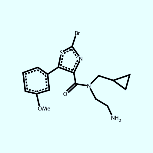 COc1cccc(-c2sc(Br)nc2C(=O)N(CCN)CC2CC2)c1